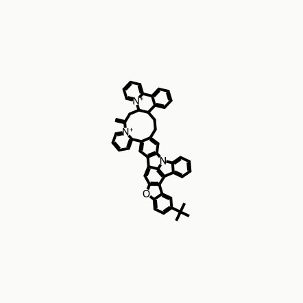 C=C1CC2C(CCc3cc4c(cc3-c3cccc[n+]31)c1cc3oc5ccc(C(C)(C)C)cc5c3c3c5ccccc5n4c13)c1ccccc1-c1cccc[n+]12